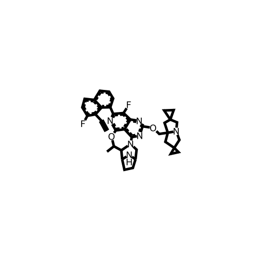 C#Cc1c(F)ccc2cccc(-c3nc4c5c(nc(OCC67CC8(CC8)CN6CC6(CC6)C7)nc5c3F)N3CC5CCC(N5)C3C(C)O4)c12